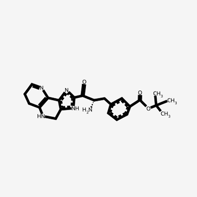 CC(C)(C)OC(=O)c1cccc(C[C@H](N)C(=O)c2nc3c([nH]2)CNC2=C3N=CCC2)c1